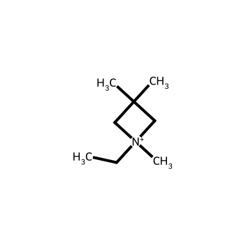 CC[N+]1(C)CC(C)(C)C1